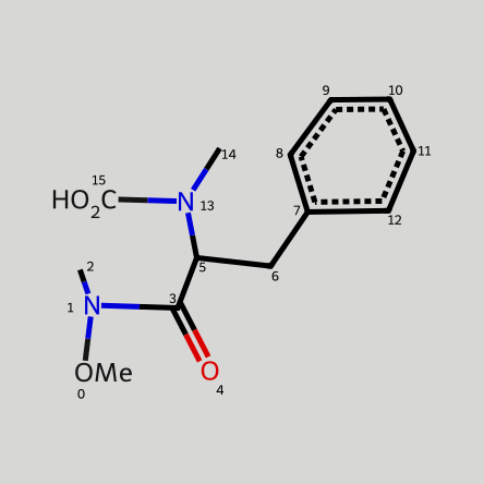 CON(C)C(=O)C(Cc1ccccc1)N(C)C(=O)O